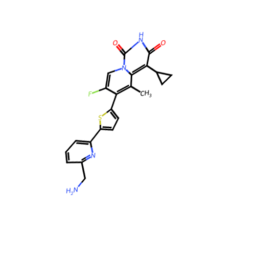 Cc1c(-c2ccc(-c3cccc(CN)n3)s2)c(F)cn2c(=O)[nH]c(=O)c(C3CC3)c12